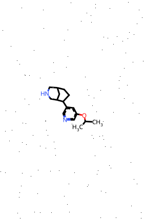 CC(C)Oc1cncc(C2CCC3CNCC2C3)c1